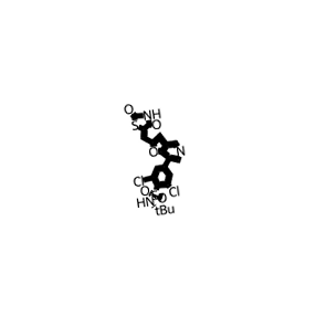 CC(C)(C)NS(=O)(=O)c1c(Cl)cc(-c2cncc3cc(/C=C4/SC(=O)NC4=O)oc23)cc1Cl